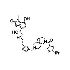 CC(C)C1=NC(C(=O)N2CCOC3(CCN(Cc4csc(CCNC[C@H](O)c5ccc(O)c6[nH]c(=O)sc56)c4)CC3)C2)CS1